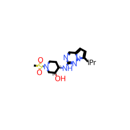 CC(C)c1ccc2cnc(N[C@@H]3CCN(S(C)(=O)=O)C[C@H]3O)nn12